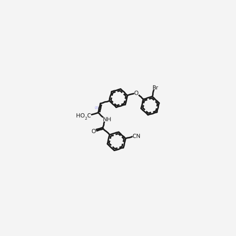 N#Cc1cccc(C(=O)N/C(=C\c2ccc(Oc3ccccc3Br)cc2)C(=O)O)c1